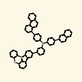 c1cc(-c2ccc3c(c2)c2cccc4c2n3-c2ccccc2O4)cc(N(c2ccc(-c3ccc4ccccc4c3)cc2)c2ccc(-c3cccc4c3ccc3ccccc34)cc2)c1